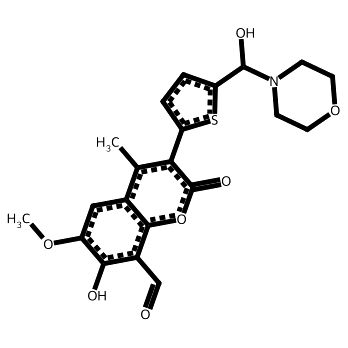 COc1cc2c(C)c(-c3ccc(C(O)N4CCOCC4)s3)c(=O)oc2c(C=O)c1O